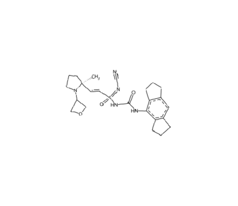 C[C@@]1(/C=C/S(=O)(=NC#N)NC(=O)Nc2c3c(cc4c2CCC4)CCC3)CCCN1C1COC1